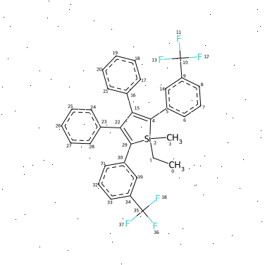 CC[Si]1(C)C(c2cccc(C(F)(F)F)c2)=C(c2ccccc2)C(c2ccccc2)=C1c1cccc(C(F)(F)F)c1